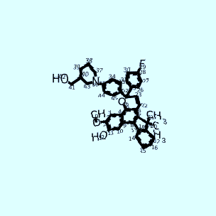 COc1cc2c3c(c4c(c2cc1O)-c1ccccc1C4(C)C)C=CC(c1ccc(F)cc1)(c1ccc(N2CCCC(CO)C2)cc1)O3